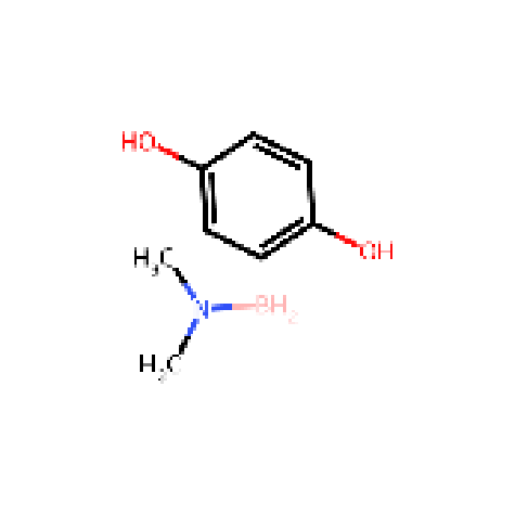 BN(C)C.Oc1ccc(O)cc1